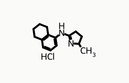 CC1CCC(Nc2cccc3c2CCCC3)=N1.Cl